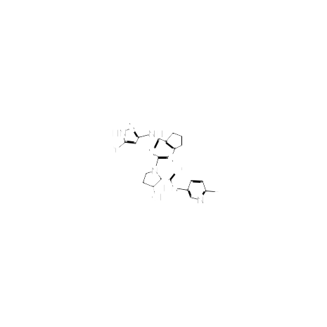 CC(C)c1cc(Nc2nc(N3CC[C@H](O)[C@H]3C(=O)Nc3ccc(F)nc3)nc3c2CCC3)n[nH]1